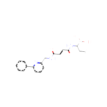 CC(C)CC(NC(=O)/C=C/C(=O)NCc1cccc(-c2ccccc2)n1)B(O)O